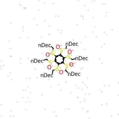 CCCCCCCCCCC[S+]([O-])c1c([S+]([O-])CCCCCCCCCCC)c([S+]([O-])CCCCCCCCCCC)c([S+]([O-])CCCCCCCCCCC)c([S+]([O-])CCCCCCCCCCC)c1[S+]([O-])CCCCCCCCCCC